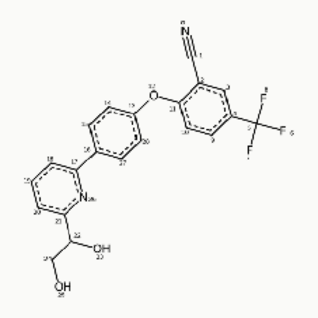 N#Cc1cc(C(F)(F)F)ccc1Oc1ccc(-c2cccc(C(O)CO)n2)cc1